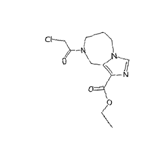 CCOC(=O)c1ncn2c1CN(C(=O)CCl)CCC2